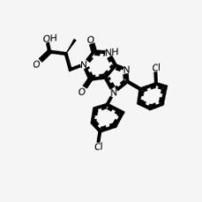 C[C@@H](Cn1c(=O)[nH]c2nc(-c3ccccc3Cl)n(-c3ccc(Cl)cc3)c2c1=O)C(=O)O